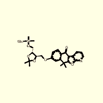 CC1(C)O[C@H](COc2ccc3c(c2)C(C)(C)c2oc4ncccc4c2C3=O)[C@@H](CO[Si](C)(C)C(C)(C)C)O1